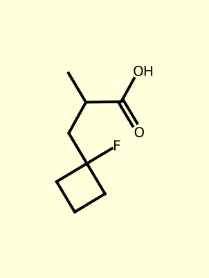 CC(CC1(F)CCC1)C(=O)O